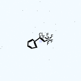 FS(F)(F)(F)(F)/C=C(\Cl)c1ccccc1